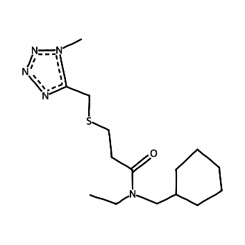 CCN(CC1CCCCC1)C(=O)CCSCc1nnnn1C